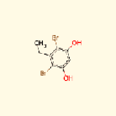 CCc1c(Br)c(O)cc(O)c1Br